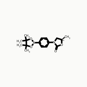 C[C@@H]1CN(c2ccc(B3OC(C)(C)C(C)(C)O3)cc2)C(=O)O1